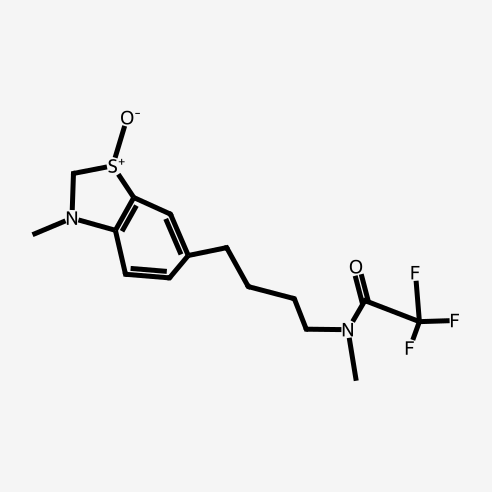 CN(CCCCc1ccc2c(c1)[S+]([O-])CN2C)C(=O)C(F)(F)F